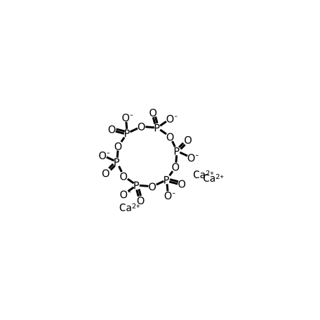 O=P1([O-])OP(=O)([O-])OP(=O)([O-])OP(=O)([O-])OP(=O)([O-])OP(=O)([O-])O1.[Ca+2].[Ca+2].[Ca+2]